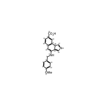 COc1ccc(CNc2nc3ccc(C(=O)O)cc3n3cncc23)cc1